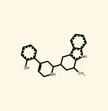 CC1CC(C2CC(c3ccccc3O)=CCN2)Cc2c1[nH]c1ccccc21